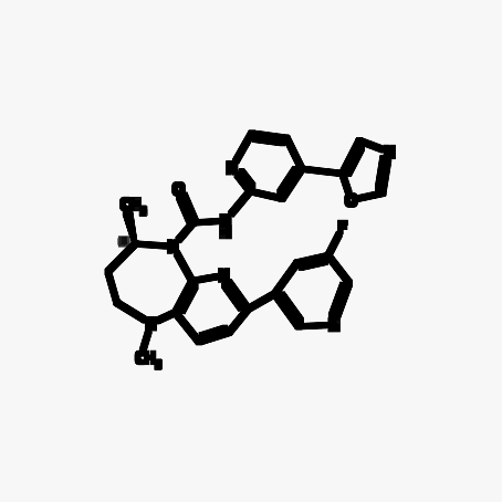 C[C@@H]1CCN(C)c2ccc(-c3cncc(F)c3)nc2N1C(=O)Nc1cc(-c2cnco2)ccn1